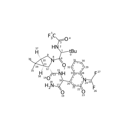 CC(C)(C)C(NC(=O)C(F)(F)F)C(=O)N1C[C@H]2[C@@H]([C@H]1C(=O)NC(C(N)=O)c1cc(=O)n(C(F)F)c3ccccc13)C2(C)C